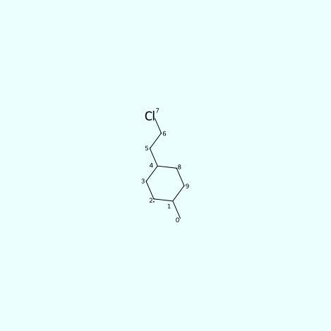 CC1[CH]CC(CCCl)CC1